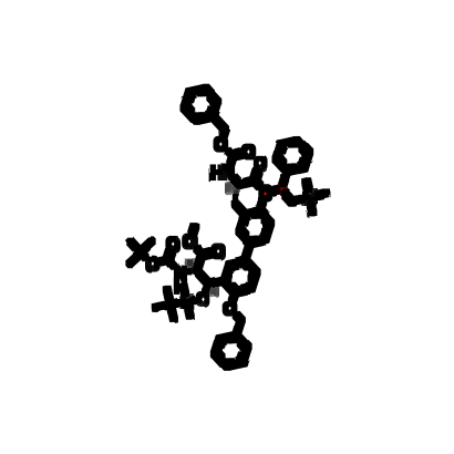 COC(=O)[C@@H](NC(=O)OC(C)(C)C)[C@H](O[Si](C)(C)C(C)(C)C)c1cc(-c2ccc(OCc3ccccc3)c(C[C@H](NC(=O)OCc3ccccc3)C(=O)OCC[Si](C)(C)C)c2)ccc1OCc1ccccc1